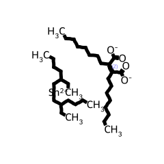 CCCCC(CC)[CH2][Sn+2][CH2]C(CC)CCCC.CCCCCCCC/C(C(=O)[O-])=C(\CCCCCCCC)C(=O)[O-]